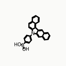 OB(O)c1ccc(-n2c3cc4ccccc4cc3c3c4ccccc4ccc32)cc1